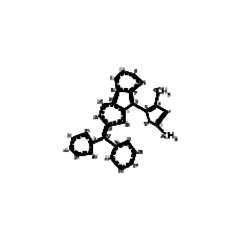 CC1=CC(C)=C(C2=c3ccccc3=c3ccc(=C(c4ccccc4)c4ccccc4)[c]c32)C1